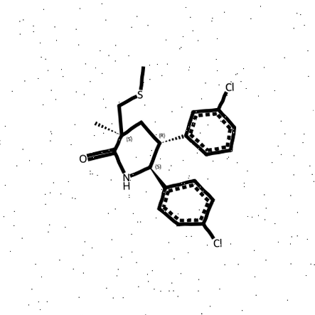 CSC[C@@]1(C)C[C@H](c2cccc(Cl)c2)[C@@H](c2ccc(Cl)cc2)NC1=O